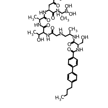 CCCCc1ccc(-c2ccc(C(=O)N[C@H](CO)C(=O)N[C@H](C)CNCC(=O)NC(C(=O)N[C@@H](C)C(=O)N[C@@H](CC(N)=O)C(=O)N[C@@H](C)B(O)O)C(C)O)cc2)cc1